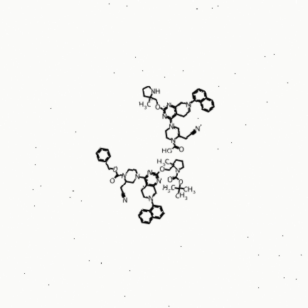 CC(C)(C)OC(=O)N1CCC[C@@]1(C)COc1nc2c(c(N3CCN(C(=O)OCc4ccccc4)C(CC#N)C3)n1)CCN(c1cccc3ccccc13)C2.C[C@@]1(COc2nc3c(c(N4CCN(C(=O)O)C(CC#N)C4)n2)CCN(c2cccc4ccccc24)C3)CCCN1